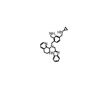 NCc1cc(CNC2CC2)ccc1CN(Cc1nc2ccccc2[nH]1)C1CCCc2cccnc21